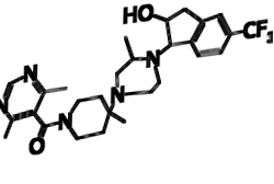 Cc1ncnc(C)c1C(=O)N1CCC(C)(N2CCN(C3c4ccc(C(F)(F)F)cc4CC3O)C(C)C2)CC1